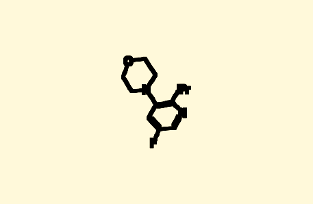 CC(C)c1ncc(F)cc1N1CCOCC1